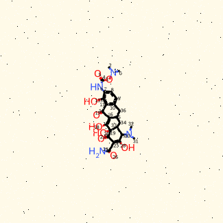 CN(C)OC(=O)Nc1ccc2c(c1O)C(=O)C1=C(O)C3(O)C(=O)C(C(N)=O)=C(O)C(N(C)C)C3CC1C2